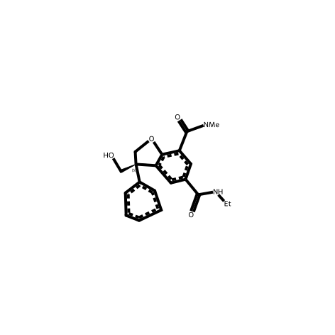 CCNC(=O)c1cc(C(=O)NC)c2c(c1)[C@](CO)(c1ccccc1)CO2